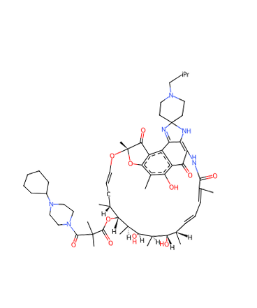 C/C1=C/C=C/[C@H](C)[C@H](O)[C@@H](C)[C@@H](O)[C@@H](C)[C@H](OC(=O)C(C)(C)C(=O)N2CCN(C3CCCCC3)CC2)[C@H](C)C/C=C/O[C@@]2(C)Oc3c(C)c(O)c4c(c3C2=O)C2=NC3(CCN(CC(C)C)CC3)NC2=C(NC1=O)C4=O